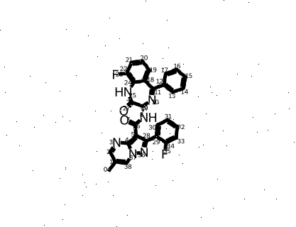 Cc1cnc2c(C(=O)N[C@H]3N=C(c4ccccc4)c4cccc(F)c4NC3=O)c(-c3ccccc3F)nn2c1